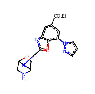 CCOC(=O)c1cc(-n2cccn2)c2oc(N3CC4COC(CN4)C3)nc2c1